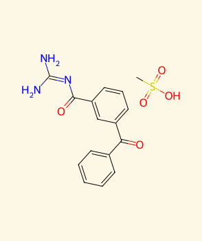 CS(=O)(=O)O.NC(N)=NC(=O)c1cccc(C(=O)c2ccccc2)c1